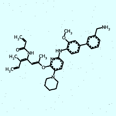 C=CC(=O)NC(/C=C(\C)Oc1nc(Nc2ccc(-c3cccc(CN)c3)cc2OC)ccc1N1CCCCC1)=C(\C)C=C